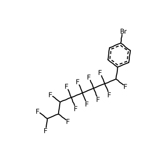 FC(F)C(F)C(F)C(F)(F)C(F)(F)C(F)(F)C(F)(F)C(F)c1ccc(Br)cc1